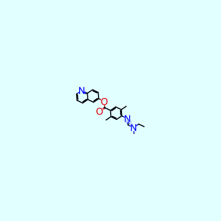 CCN(C)/C=N/c1cc(C)c(C(=O)Oc2ccc3ncccc3c2)cc1C